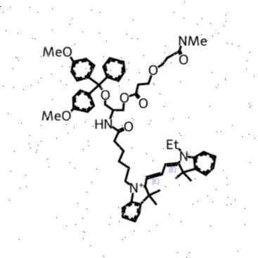 CCN1/C(=C/C=C/C2=[N+](CCCCCC(=O)NC(COC(=O)CCOCCC(=O)NC)COC(c3ccccc3)(c3ccc(OC)cc3)c3ccc(OC)cc3)c3ccccc3C2(C)C)C(C)(C)c2ccccc21